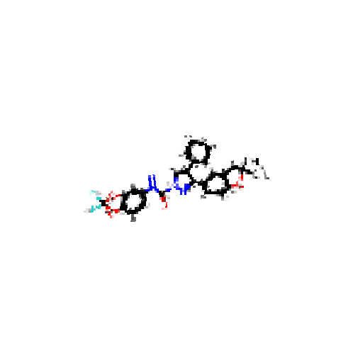 CC1(C)Cc2cc(C3=NN(C(=O)Nc4ccc5c(c4)OC(F)(F)O5)CC3c3ccccc3)ccc2O1